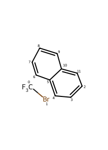 FC(F)(F)Br.c1ccc2ccccc2c1